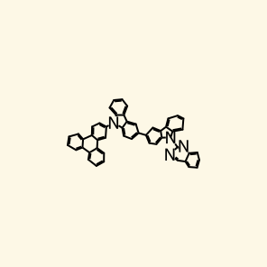 c1ccc2nc(-n3c4ccccc4c4cc(-c5ccc6c(c5)c5ccccc5n6-c5ccc6c7ccccc7c7ccccc7c6c5)ccc43)ncc2c1